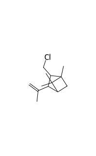 C=C(C)C1C2CC(C)(C1CCl)C2(C)C